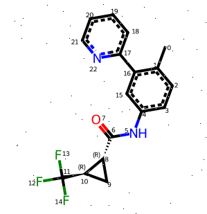 Cc1ccc(NC(=O)[C@@H]2C[C@H]2C(F)(F)F)cc1-c1ccccn1